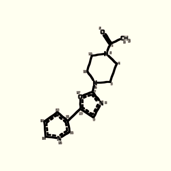 CC(=O)N1CCN(c2ncc(-c3cccnc3)o2)CC1